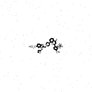 [2H]C([2H])([2H])Oc1cc(C#N)ccc1C1C=C(F)c2cccc(C3CCN(Cc4nc5ccc(C(=O)O)cc5n4C[C@@H]4CCO4)CC3)c2O1